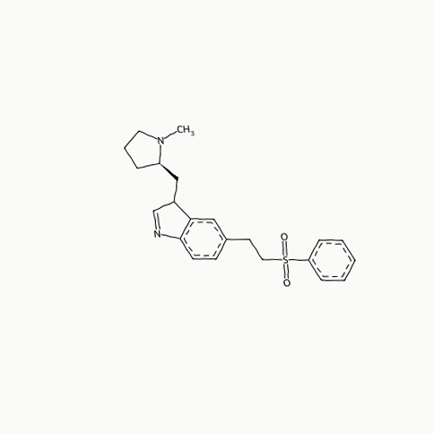 CN1CCC[C@@H]1CC1C=Nc2ccc(CCS(=O)(=O)c3ccccc3)cc21